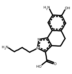 NCCCn1nc2c(c1C(=O)O)CCc1cc(O)c(N)cc1-2